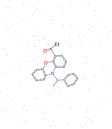 CCC(=O)c1cccc2c1Oc1ccccc1N2C(C)c1ccccc1